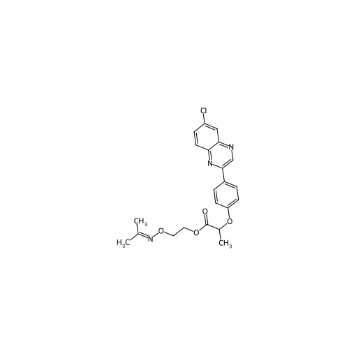 CC(C)=NOCCOC(=O)C(C)Oc1ccc(-c2cnc3cc(Cl)ccc3n2)cc1